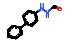 O=CNNc1ccc(-c2ccccc2)cc1